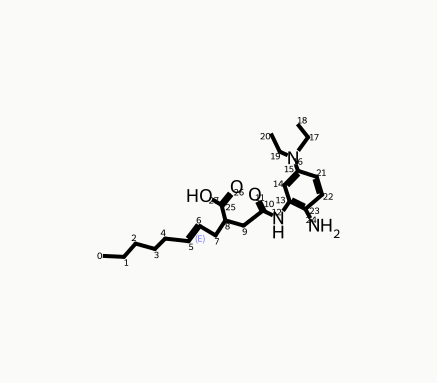 CCCCC/C=C/CC(CC(=O)Nc1cc(N(CC)CC)ccc1N)C(=O)O